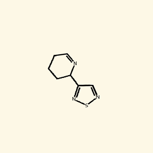 C1=NC(c2cnsn2)CCC1